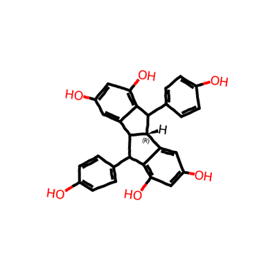 Oc1ccc(C2c3c(O)cc(O)cc3[C@H]3C(c4ccc(O)cc4)c4c(O)cc(O)cc4C23)cc1